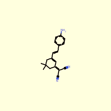 CC1(C)CC(C=Cc2ccc(N)cc2)=CC(=C(C#N)C#N)C1